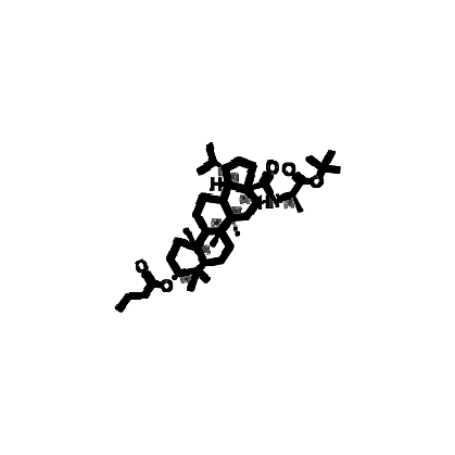 CCCC(=O)O[C@@H]1CC[C@@]2(C)C(CC[C@]3(C)C2CCC2[C@@H]4[C@H](C(C)C)CC[C@]4(C(=O)N[C@H](C)C(=O)OC(C)(C)C)CC[C@]23C)C1(C)C